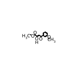 CCOC(=O)/C(O)=C/C(=O)c1cccc(OC)c1